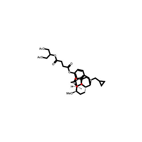 CO[C@]12CC[C@@]3(C[C@@H]1[C@](C)(O)C(C)(C)C)C1Cc4ccc(OC(=O)CCC(=O)OC(COC(C)=O)COC(C)=O)c5c4[C@@]3(CCN1CC1CC1)[C@]2(C)O5